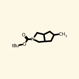 CC1CC2CN(C(=O)OC(C)(C)C)CC2C1